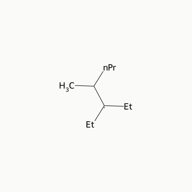 CCCC(C)[C](CC)CC